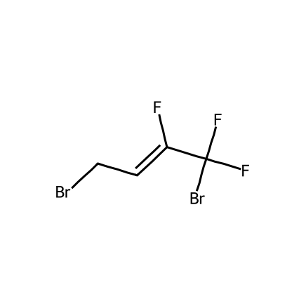 F/C(=C\CBr)C(F)(F)Br